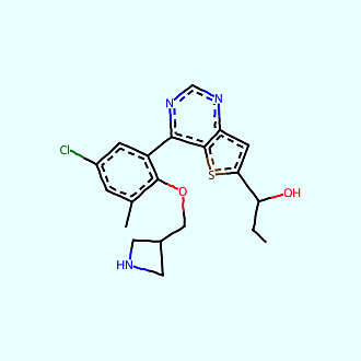 CCC(O)c1cc2ncnc(-c3cc(Cl)cc(C)c3OCC3CNC3)c2s1